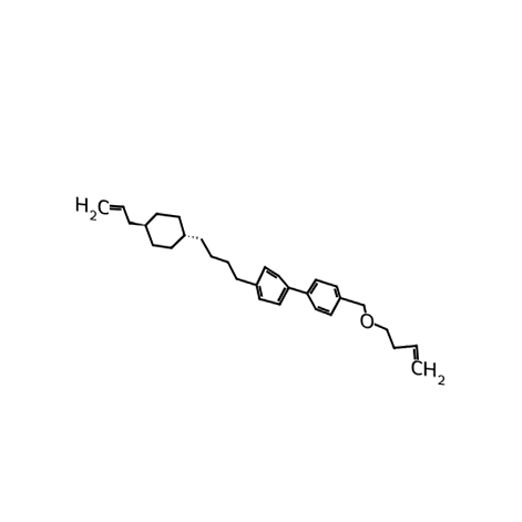 C=CCCOCc1ccc(-c2ccc(CCCC[C@H]3CC[C@H](CC=C)CC3)cc2)cc1